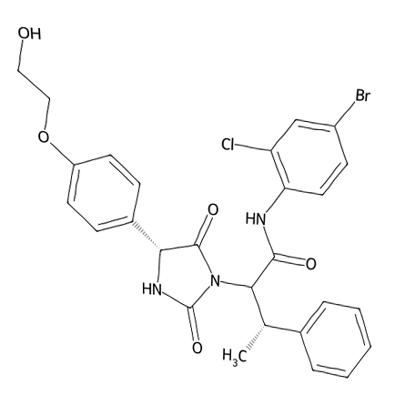 C[C@@H](c1ccccc1)C(C(=O)Nc1ccc(Br)cc1Cl)N1C(=O)N[C@H](c2ccc(OCCO)cc2)C1=O